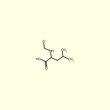 CC(C)CC(NCCl)C(=O)O